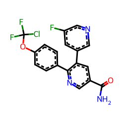 NC(=O)c1cnc(-c2ccc(OC(F)(F)Cl)cc2)c(-c2cncc(F)c2)c1